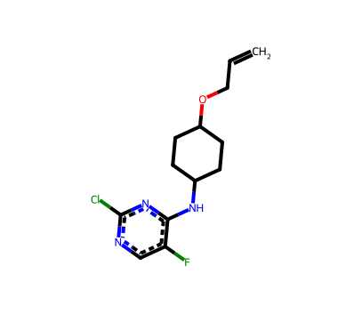 C=CCOC1CCC(Nc2nc(Cl)ncc2F)CC1